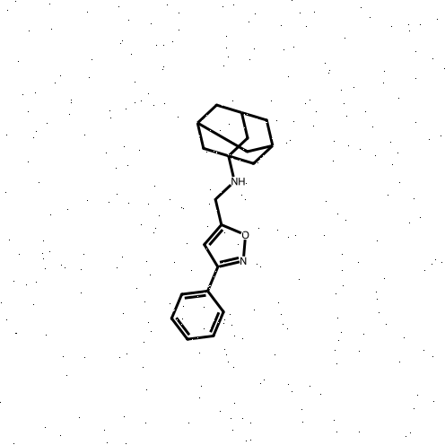 c1ccc(-c2cc(CNC34CC5CC(CC(C5)C3)C4)on2)cc1